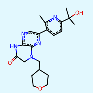 Cc1nc(C(C)(C)O)ccc1-c1cnc2c(n1)N(CC1CCOCC1)CC(=O)N2